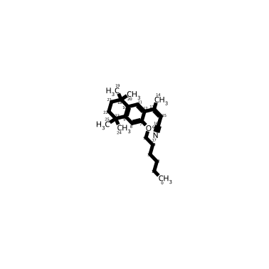 CCCCCCOc1cc2c(cc1/C(C)=C\C#N)C(C)(C)CCC2(C)C